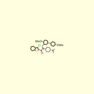 COc1ccc(-c2ccc(OC)c(CN(C(=O)c3sc4ccccc4c3Cl)[C@H]3CC[C@H](N(C)C)CC3)c2)cc1